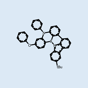 CC(C)(C)c1ccc2c(c1)c1cccc3c1n2B1c2ccc(Oc4ccccc4)cc2N(c2ccccc2)c2cccc-3c21